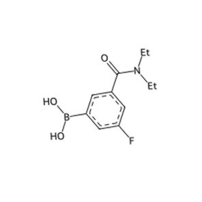 CCN(CC)C(=O)c1cc(F)cc(B(O)O)c1